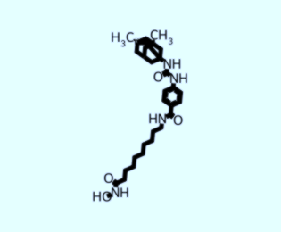 C[C@]12CC3CC(NC(=O)Nc4ccc(C(=O)NCCCCCCCCCC(=O)NO)cc4)(C1)C[C@@](C)(C3)C2